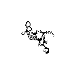 CC(C)(C)OC(=O)N1CCCCC1CNc1nc(N)n2nc(-c3ccco3)nc2n1